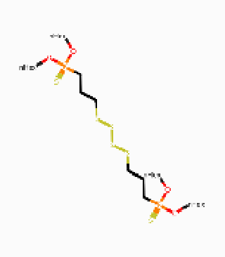 CCCCCCOP(=S)(CCCSSSSCCCP(=S)(OCCCCCC)OCCCCCC)OCCCCCC